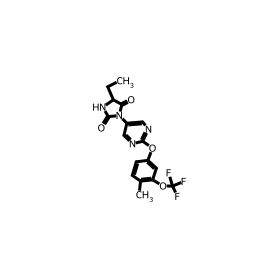 CCC1NC(=O)N(c2cnc(Oc3ccc(C)c(OC(F)(F)F)c3)nc2)C1=O